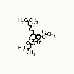 CC(=O)O[C@H]1C=C2C(COC(=O)CC(C)C)=CO[C@@H](OC(=O)CC(C)C)[C@@H]2[C@@]12CO2